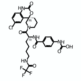 O=C(O)Nc1ccc(C(=O)N[C@@H](CCCCNC(=O)C(F)(F)F)C(=O)N2CCC[C@@]3(C2)OC(=O)Nc2ccc(Cl)cc23)cc1